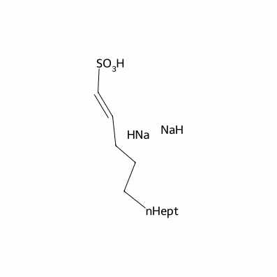 CCCCCCCCCCC=CS(=O)(=O)O.[NaH].[NaH]